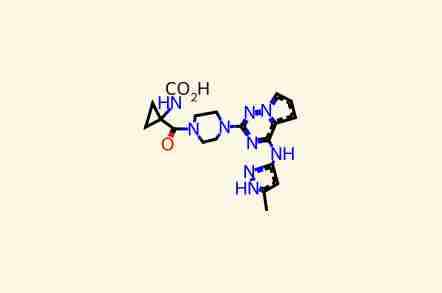 Cc1cc(Nc2nc(N3CCN(C(=O)C4(NC(=O)O)CC4)CC3)nn3cccc23)n[nH]1